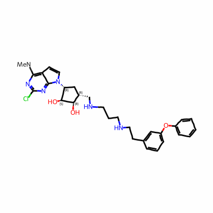 CNc1nc(Cl)nc2c1ccn2[C@@H]1C[C@H](CNCCCNCCc2cccc(Oc3ccccc3)c2)[C@@H](O)[C@H]1O